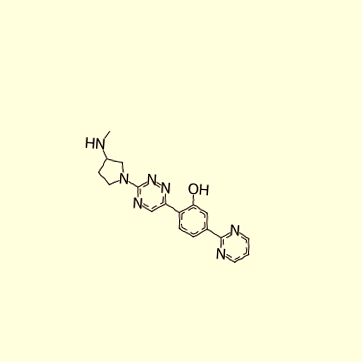 CNC1CCN(c2ncc(-c3ccc(-c4ncccn4)cc3O)nn2)C1